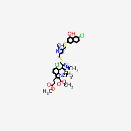 COC(=O)CCc1c(C(=O)OC)n(C)c2c(-c3c(CSCc4cc(CSc5cc(O)c6cc(Cl)ccc6c5)n(C)n4)nn(C)c3C)c(Cl)ccc12